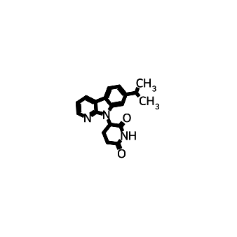 CC(C)c1ccc2c3cccnc3n(C3CCC(=O)NC3=O)c2c1